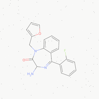 NC1N=C(c2ccccc2F)c2ccccc2N(Cc2ccco2)C1=O